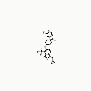 CO[C@]1(c2ccc(F)c(F)c2)CC[C@H](Oc2ccn3c(CC4CC4)nnc3c2C(F)(F)F)CC1